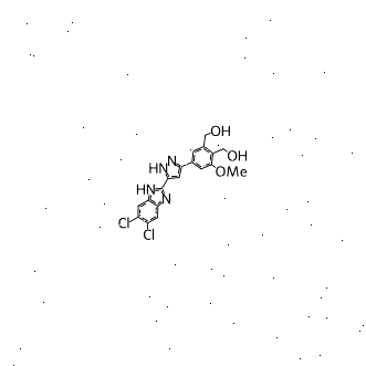 COc1cc(-c2cc(-c3nc4cc(Cl)c(Cl)cc4[nH]3)[nH]n2)cc(CO)c1CO